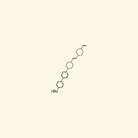 C=CC1CCC(C=CC2CCC(c3ccc(-c4ccc(CCCC)cc4)cc3)CC2)CC1